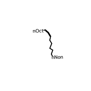 CCCCCCCCC=C=CCCCCCCCCCCCCCC